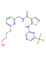 O=C(NCc1cccc(OCCCO)n1)c1cnsc1Nc1cncc(C(F)(F)F)n1